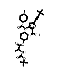 CC(NC(=O)OC(C)(C)C)C(=O)O[C@H]1CC[C@H](N(c2cc(C#CC(C)(C)C)sc2C(=O)O)C(=O)[C@H]2CC[C@H](C)CC2)CC1